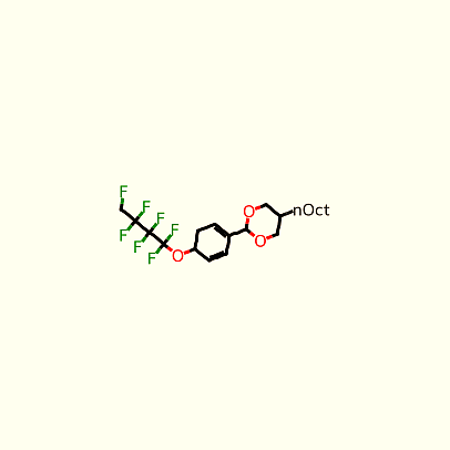 CCCCCCCCC1COC(C2=CCC(OC(F)(F)C(F)(F)C(F)(F)CF)C=C2)OC1